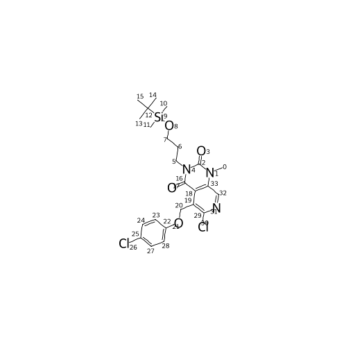 Cn1c(=O)n(CCCO[Si](C)(C)C(C)(C)C)c(=O)c2c(COc3ccc(Cl)cc3)c(Cl)ncc21